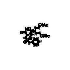 COCCN(CCOC)C(=O)N[C@@H](CS(=O)(=O)Cc1cccnc1)C(N)=O